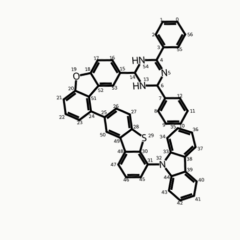 c1ccc(C2=NC(c3ccccc3)NC(c3ccc4oc5cccc(-c6ccc7sc8c(-n9c%10ccccc%10c%10ccccc%109)cccc8c7c6)c5c4c3)N2)cc1